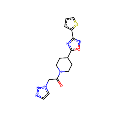 O=C(Cn1ccnn1)N1CCC(c2nc(-c3cccs3)no2)CC1